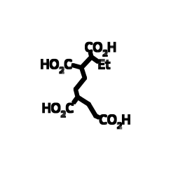 CCC(C(=O)O)C(CCC(CCC(=O)O)C(=O)O)C(=O)O